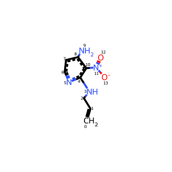 C=CCNc1nccc(N)c1[N+](=O)[O-]